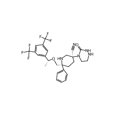 C[C@@H](OC[C@@]1(c2ccccc2)CC[C@](C#N)(N2CCNNC2=O)CN1)c1cc(C(F)(F)F)cc(C(F)(F)F)c1